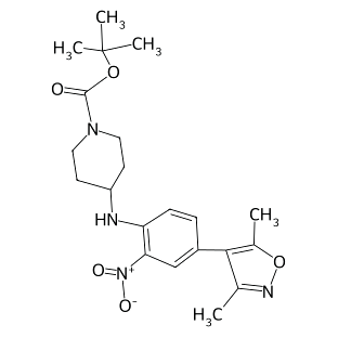 Cc1noc(C)c1-c1ccc(NC2CCN(C(=O)OC(C)(C)C)CC2)c([N+](=O)[O-])c1